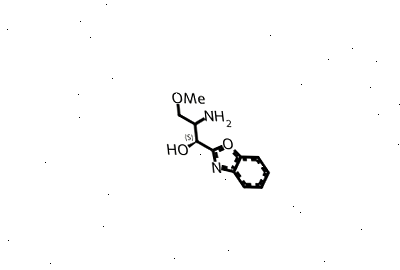 COCC(N)[C@H](O)c1nc2ccccc2o1